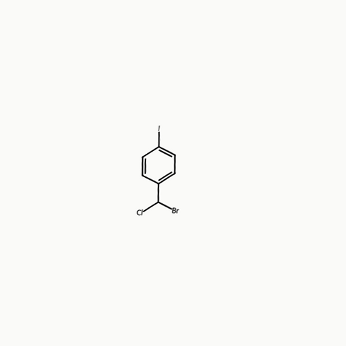 ClC(Br)c1ccc(I)cc1